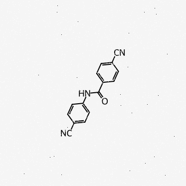 N#Cc1ccc(NC(=O)c2ccc(C#N)cc2)cc1